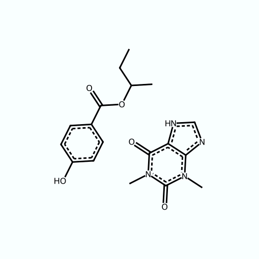 CCC(C)OC(=O)c1ccc(O)cc1.Cn1c(=O)c2[nH]cnc2n(C)c1=O